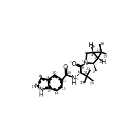 C[C@@H]1[C@@H]2[C@H](CN1C(=O)[C@@H](NC(=O)c1ccc3[nH]ncc3c1)C(C)(C)C)C2(C)C